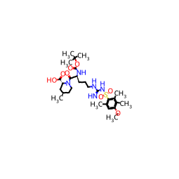 COc1cc(C)c(S(=O)(=O)NC(=N)NCCC[C@H](NC(=O)OC(C)(C)C)C(=O)N2CC[C@@H](C)C[C@@H]2C(=O)O)c(C)c1C